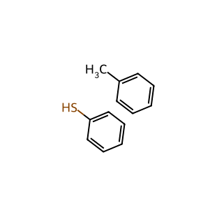 Cc1ccccc1.Sc1ccccc1